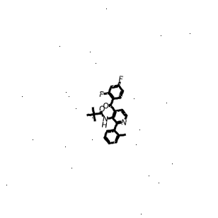 Cc1ccccc1-c1nccc(C(=O)c2ccc(F)cc2F)c1NC(=O)C(C)(C)C